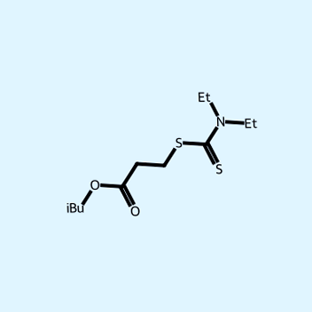 CCC(C)OC(=O)CCSC(=S)N(CC)CC